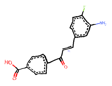 Nc1cc(/C=C/C(=O)c2ccc(C(=O)O)cc2)ccc1F